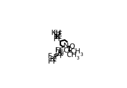 CC(C)(C)C(=O)N1CCCCC1.F[B-](F)(F)F.F[B-](F)(F)F.F[B-](F)(F)F.[KH]